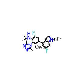 CCCn1ccc2c(-c3cc(F)c4c(c3OC)-n3c(C)nnc3C(C)(C)N4)cc(F)cc21